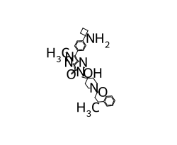 CC(CC(=O)N1CCC(O)(Cn2cnc3c(-c4ccc(C5(N)CCC5)cc4)n(C)nc3c2=O)CC1)c1ccccc1